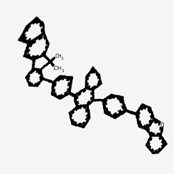 CC1(C)c2cc3ccccc3cc2-c2cccc(-c3ccc(-c4c5ccccc5c(-c5ccc(-c6ccc7oc8ccccc8c7c6)cc5)c5ccccc45)cc3)c21